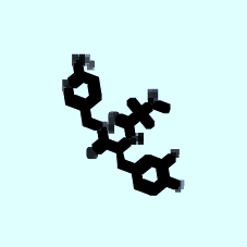 CNC(C)(C)C(=O)N[C@@H](Cc1ccc(F)c(F)c1)C(=O)NCc1ccc(N)nc1